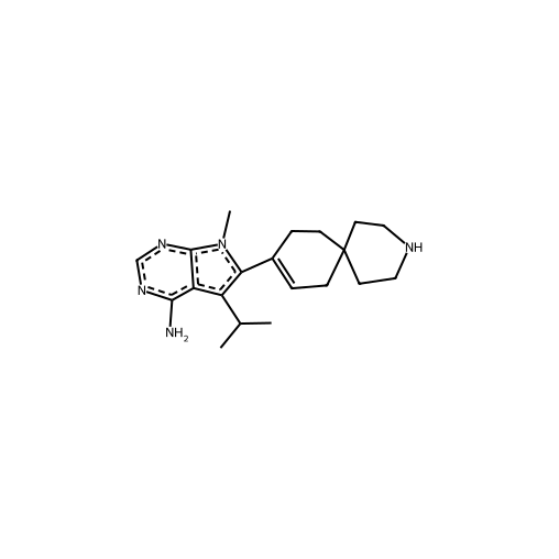 CC(C)c1c(C2=CCC3(CCNCC3)CC2)n(C)c2ncnc(N)c12